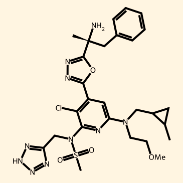 COCCN(CC1CC1C)c1cc(-c2nnc([C@](C)(N)Cc3ccccc3)o2)c(Cl)c(N(Cc2nn[nH]n2)S(C)(=O)=O)n1